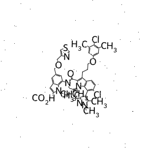 Cc1cc(OCCCc2c3n(c4c(-c5c(C)nn(C)c5C)c(Cl)ccc24)[C@H](C)CN(c2cc(COCc4cscn4)cc4cc(C(=O)O)n(C)c24)C3=O)cc(C)c1Cl